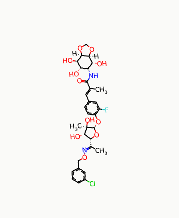 C/C(=C\c1ccc(O[C@@H]2O[C@H](/C(C)=N/OCc3cccc(Cl)c3)[C@H](O)[C@@]2(C)O)c(F)c1)C(=O)N[C@@H]1[C@H](O)[C@@H](O)[C@H]2OCO[C@H]2[C@@H]1O